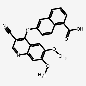 COc1cc2ncc(C#N)c(Oc3ccc4c(C(=O)O)cccc4c3)c2cc1OC